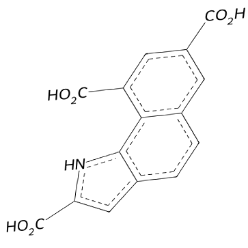 O=C(O)c1cc(C(=O)O)c2c(ccc3cc(C(=O)O)[nH]c32)c1